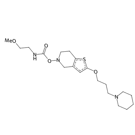 COCCNC(=O)ON1CCc2sc(OCCCN3CCCCC3)cc2C1